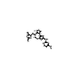 COc1ccnc(Nc2nc3c(s2)CCN(Cc2nc(C)sc2C)c2[nH]ncc2-3)n1